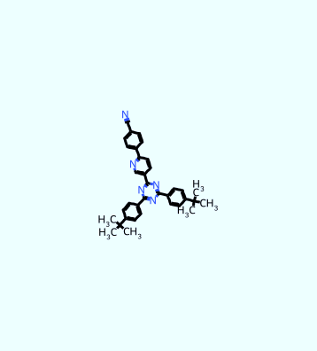 CC(C)(C)c1ccc(-c2nc(-c3ccc(C(C)(C)C)cc3)nc(-c3ccc(-c4ccc(C#N)cc4)nc3)n2)cc1